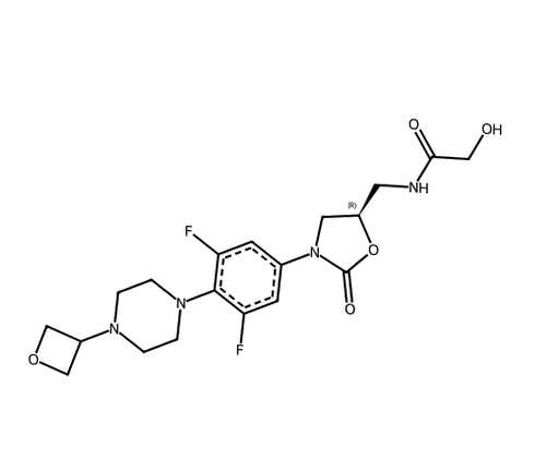 O=C(CO)NC[C@@H]1CN(c2cc(F)c(N3CCN(C4COC4)CC3)c(F)c2)C(=O)O1